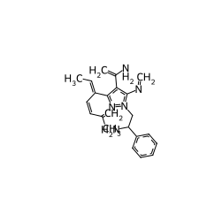 C=Nc1c(C(=C)N)c(C(/C=C\C(=C)C)=C/C)nn1CC(N)c1ccccc1